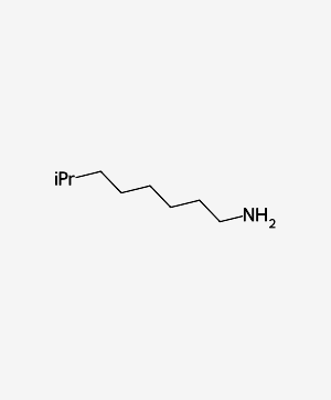 CC(C)CCCCCCN